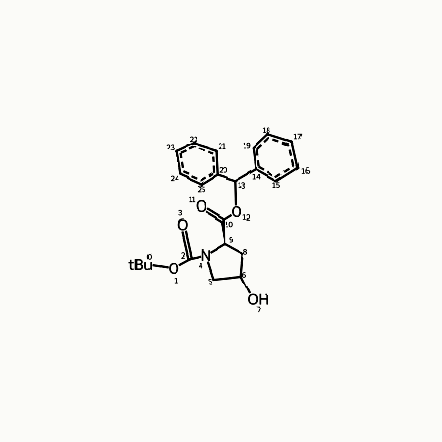 CC(C)(C)OC(=O)N1CC(O)C[C@@H]1C(=O)OC(c1ccccc1)c1ccccc1